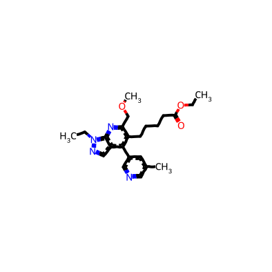 CCOC(=O)CCCCc1c(COC)nc2c(cnn2CC)c1-c1cncc(C)c1